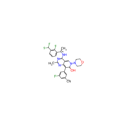 Cc1nc(N[C@H](C)c2cccc(C(F)F)c2F)c2c(n1)=C(c1cc(F)cc(C#N)c1)C(O)N(N1CCOCC1)C=2